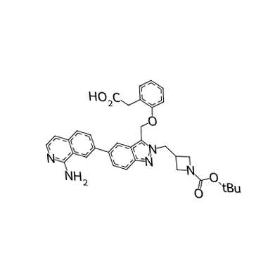 CC(C)(C)OC(=O)N1CC(Cn2nc3ccc(-c4ccc5ccnc(N)c5c4)cc3c2COc2ccccc2CC(=O)O)C1